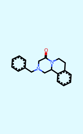 O=C1CN(Cc2ccccc2)CC2c3ccccc3CCN12